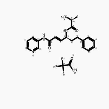 C[C@H](N)C(=O)N[C@H](C=CC(=O)Nc1cccnc1)CCc1ccccc1.O=C(O)C(F)(F)F